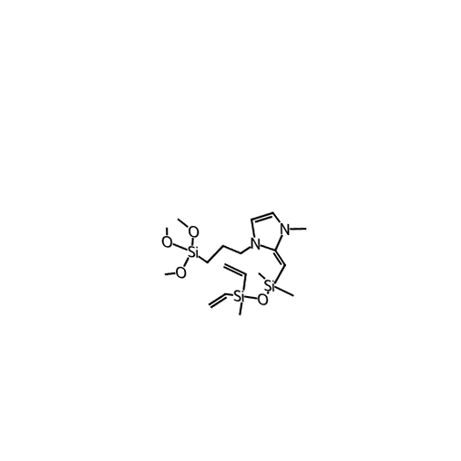 C=C[Si](C)(C=C)O[Si](C)(C)C=C1N(C)C=CN1CCC[Si](OC)(OC)OC